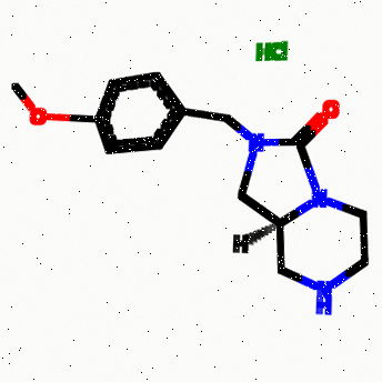 COc1ccc(CN2C[C@@H]3CNCCN3C2=O)cc1.Cl